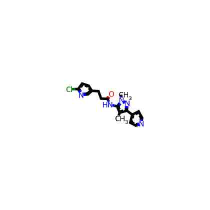 Cc1c(-c2ccncc2)nn(C)c1NC(=O)CCc1ccc(Cl)nc1